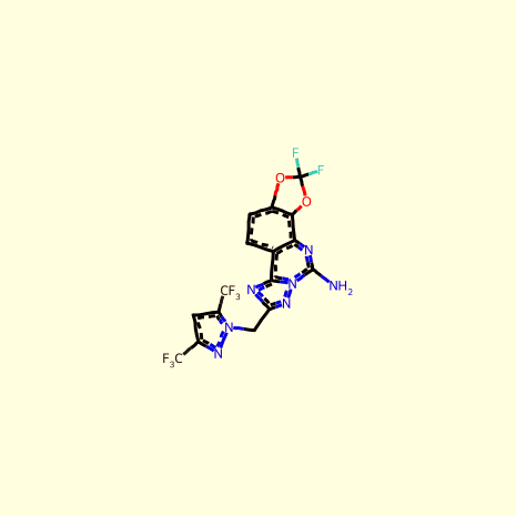 Nc1nc2c3c(ccc2c2nc(Cn4nc(C(F)(F)F)cc4C(F)(F)F)nn12)OC(F)(F)O3